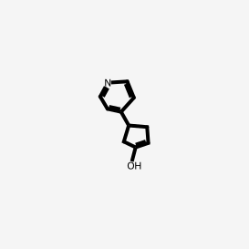 OC1=CCC(c2ccncc2)C1